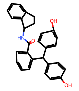 O=C(NC1CCc2ccccc21)c1ccccc1C(c1ccc(O)cc1)c1ccc(O)cc1